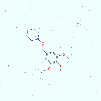 COc1cc(CON2CCCCC2)cc(OC)c1OC